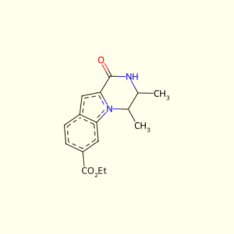 CCOC(=O)c1ccc2cc3n(c2c1)C(C)C(C)NC3=O